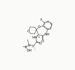 CB(O)N(C)[C@@H](C)C(=O)N[C@@H]1C(=O)Nc2cccc(F)c2OC12CCOCC2